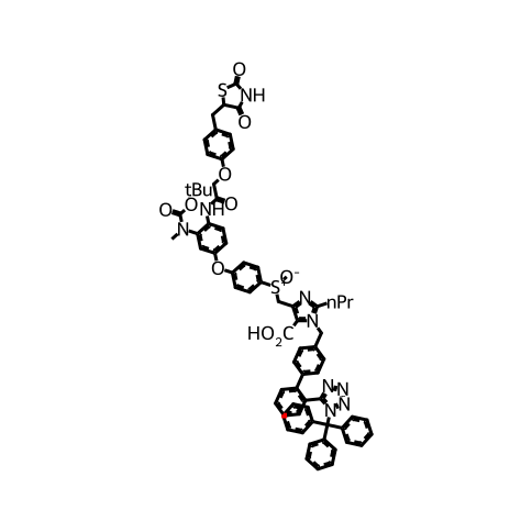 CCCc1nc(C[S+]([O-])c2ccc(Oc3ccc(NC(=O)COc4ccc(CC5SC(=O)NC5=O)cc4)c(N(C)C(=O)OC(C)(C)C)c3)cc2)c(C(=O)O)n1Cc1ccc(-c2ccccc2-c2nnnn2C(c2ccccc2)(c2ccccc2)c2ccccc2)cc1